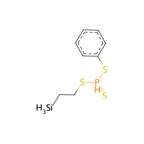 [SiH3]CCS[PH](=S)Sc1ccccc1